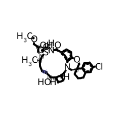 COC[C@@H](O)C[C@H]1[C@@H](C)C/C=C/[C@H](O)[C@@H]2CC[C@H]2CN2C[C@@]3(CCCc4cc(Cl)ccc43)COc3ccc(cc32)C(=O)NS1(=O)=O